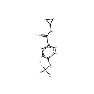 O=C([N]C1CC1)c1ccc(OC(F)(F)F)cc1